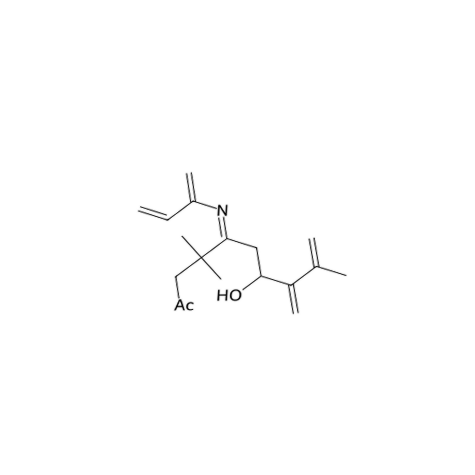 C=CC(=C)/N=C(/CC(O)C(=C)C(=C)C)C(C)(C)CC(C)=O